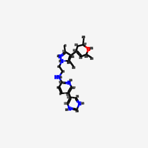 Cc1nn(CCNc2ccc(-c3cncnc3)cn2)c(C)c1C1=CC(C)OC(C)C1